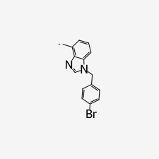 [CH2]c1cccc2c1ncn2Cc1ccc(Br)cc1